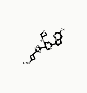 CC(=O)NC1CC(c2nnc(-c3cnc(-c4ccc5cc(C#N)cnn45)cc3NC3COC3)s2)C1